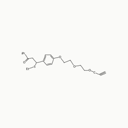 C#CCOCCOCCOc1ccc(C(CC(=O)C(C)C)SCC)cc1